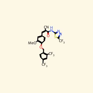 COc1cc(C=C(C#N)C(=O)Nc2nnc(C(F)(F)F)s2)ccc1OCc1ccc(C(F)(F)F)cc1C(F)(F)F